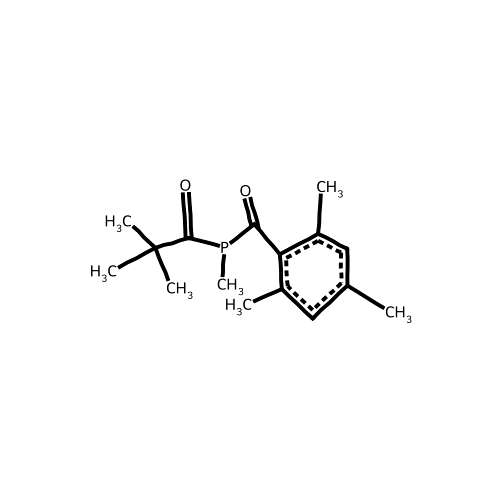 Cc1cc(C)c(C(=O)P(C)C(=O)C(C)(C)C)c(C)c1